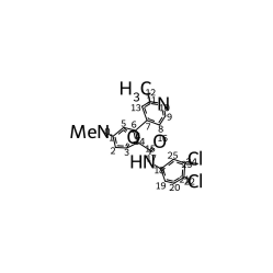 CNc1cc2oc1c(-c1ccnc(C)c1)c2C(=O)Nc1ccc(Cl)c(Cl)c1